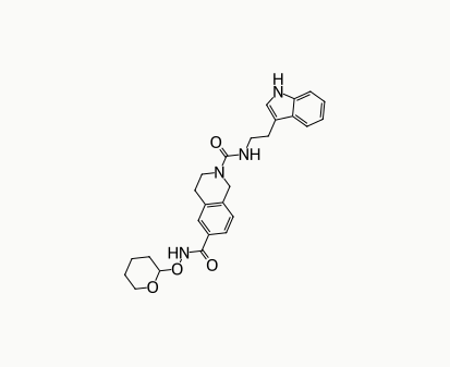 O=C(NOC1CCCCO1)c1ccc2c(c1)CCN(C(=O)NCCc1c[nH]c3ccccc13)C2